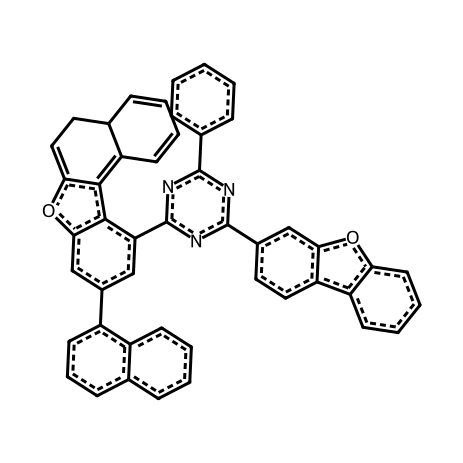 C1=CC2=c3c(oc4cc(-c5cccc6ccccc56)cc(-c5nc(-c6ccccc6)nc(-c6ccc7c(c6)oc6ccccc67)n5)c34)=CCC2C=C1